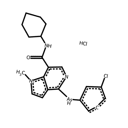 Cl.Cn1ccc2c([AsH]c3cccc(Cl)c3)ncc(C(=O)NC3CCCCC3)c21